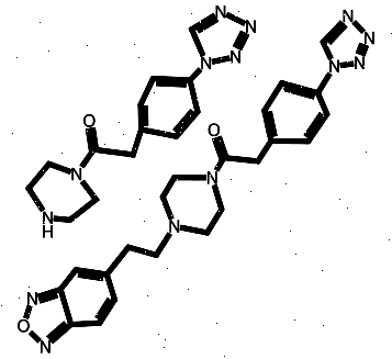 O=C(Cc1ccc(-n2cnnn2)cc1)N1CCN(CCc2ccc3nonc3c2)CC1.O=C(Cc1ccc(-n2cnnn2)cc1)N1CCNCC1